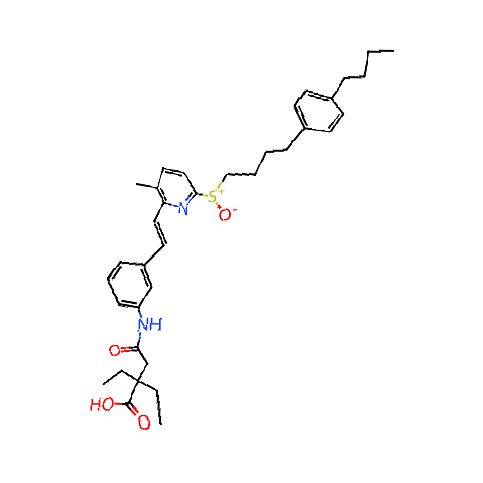 CCCCc1ccc(CCCC[S+]([O-])c2ccc(C)c(C=Cc3cccc(NC(=O)CC(CC)(CC)C(=O)O)c3)n2)cc1